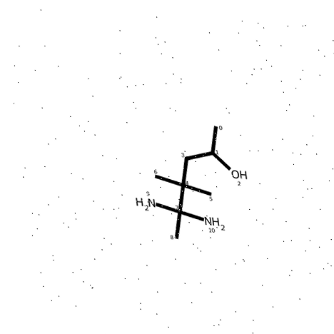 CC(O)CC(C)(C)C(C)(N)N